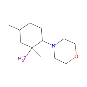 CC1CCC(N2CCOCC2)C(C)(P)C1